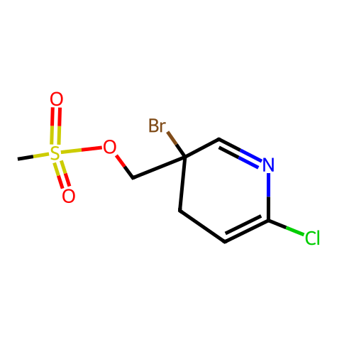 CS(=O)(=O)OCC1(Br)C=NC(Cl)=CC1